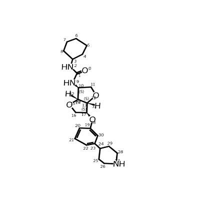 O=C(NC1CCCCC1)N[C@H]1CO[C@H]2[C@@H]1OC[C@@H]2Oc1cccc(C2CCNCC2)c1